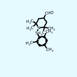 Cc1cc(C)c(SN2C(C)(C)CC(C=O)CC2(C)C)c(C)c1